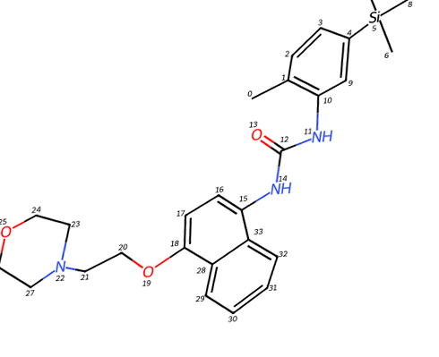 Cc1ccc([Si](C)(C)C)cc1NC(=O)Nc1ccc(OCCN2CCOCC2)c2ccccc12